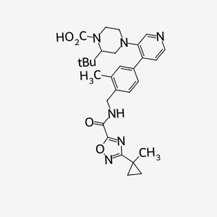 Cc1cc(-c2ccncc2N2CCN(C(=O)O)C(C(C)(C)C)C2)ccc1CNC(=O)c1nc(C2(C)CC2)no1